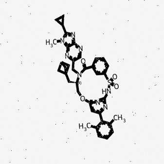 Cc1cccc(C)c1-c1cc2nc(n1)NS(=O)(=O)c1cccc(c1)C(=O)N(Cc1cnc3nc(C4CC4)n(C)c3n1)[C@H](CC13CC(C1)C3)CO2